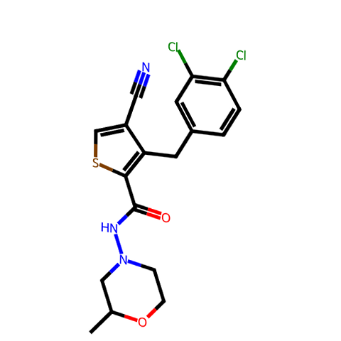 CC1CN(NC(=O)c2scc(C#N)c2Cc2ccc(Cl)c(Cl)c2)CCO1